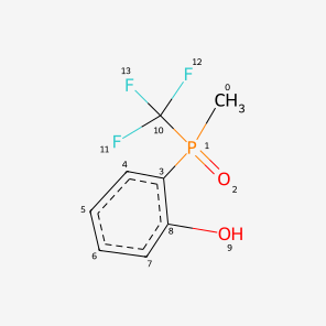 CP(=O)(c1ccccc1O)C(F)(F)F